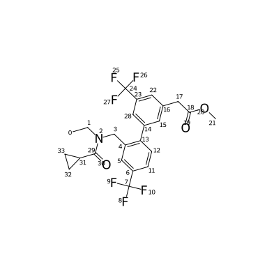 CCN(Cc1cc(C(F)(F)F)ccc1-c1cc(CC(=O)OC)cc(C(F)(F)F)c1)C(=O)C1CC1